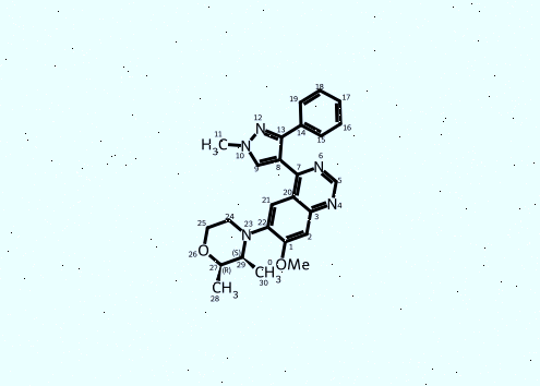 COc1cc2ncnc(-c3cn(C)nc3-c3ccccc3)c2cc1N1CCO[C@H](C)[C@@H]1C